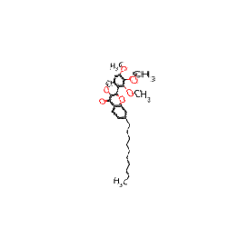 CCCCCCCCCCc1ccc2c(=O)c(OC)c(-c3ccc(OC)c(OC)c3OC)oc2c1